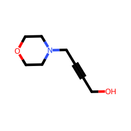 OCC#CCN1CCOCC1